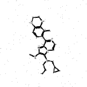 CCCN(CC1CC1)c1c(SC)nc2c(-c3ccc4c(c3C)OCCO4)nccn12